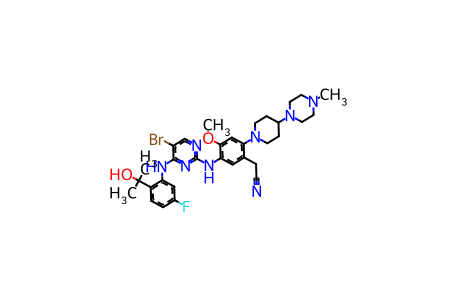 COc1cc(N2CCC(N3CCN(C)CC3)CC2)c(CC#N)cc1Nc1ncc(Br)c(Nc2cc(F)ccc2C(C)(C)O)n1